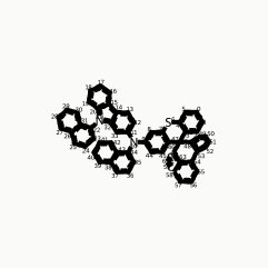 c1ccc2c(c1)Sc1cc(N(c3ccc4c5ccccc5n(-c5cccc6ccccc56)c4c3)c3cccc4ccccc34)ccc1C21c2ccccc2-c2cccc3cccc1c23